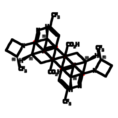 O=C(O)C(C(C(=O)O)C1[C@@H]2C[C@H]1CN(c1cc(C(F)(F)F)nc(N3CC[C@@H]3C(F)(F)F)n1)C2)C1[C@@H]2C[C@H]1CN(c1cc(C(F)(F)F)nc(N3CC[C@H]3C(F)(F)F)n1)C2